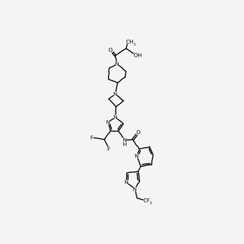 CC(O)C(=O)N1CCC(N2CC(n3cc(NC(=O)c4cccc(-c5cnn(CC(F)(F)F)c5)n4)c(C(F)F)n3)C2)CC1